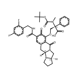 CN(C(=O)OC(C)(C)C)[C@@](COc1c2n(cc(C(=O)NCc3ccc(F)cc3F)c1=O)C[C@@H]1N(C[C@H]3CCCN31)C2=O)(C(=O)O)c1ccccc1